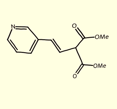 COC(=O)C(C=Cc1cccnc1)C(=O)OC